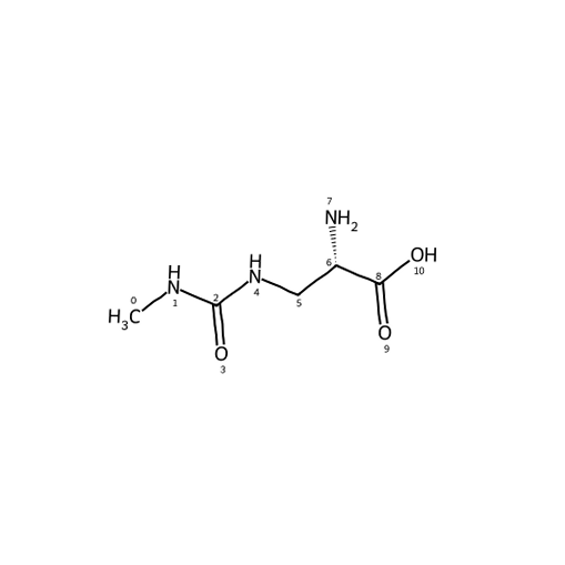 CNC(=O)NC[C@H](N)C(=O)O